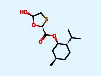 CC(C)[C@@H]1CC[C@@H](C)C[C@H]1OC(=O)[C@@H]1O[C@@H](O)CS1